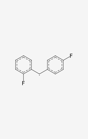 Fc1ccc([CH]c2ccccc2F)cc1